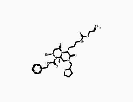 C=CCOC(=O)NCCC[C@H]1C(=O)N(CC2CCCO2)C[C@H]2N1C(=O)CN(CC)N2C(=O)NCc1ccccc1